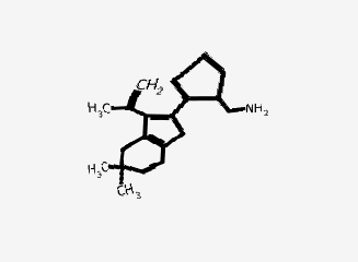 C=C(C)C1=C(C2CCCC2CN)CC2=C1CC(C)(C)CC2